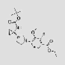 CCOC(=O)c1ccc(N2CC[C@@H](C3(NC(=O)OC(C)(C)C)CC3)C2)c(OC)c1F